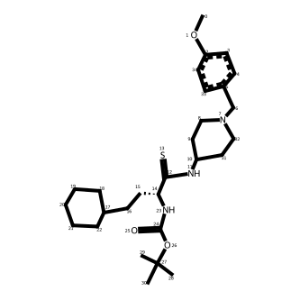 COc1ccc(CN2CCC(NC(=S)[C@@H](CCC3CCCCC3)NC(=O)OC(C)(C)C)CC2)cc1